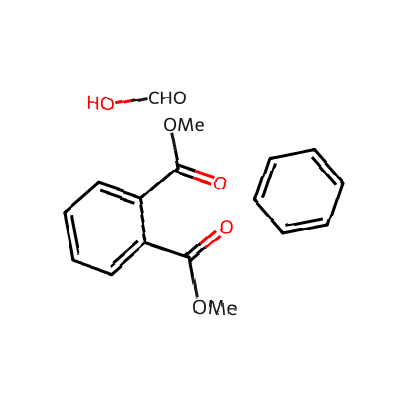 COC(=O)c1ccccc1C(=O)OC.O=CO.c1ccccc1